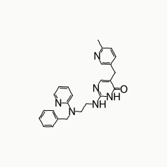 Cc1ccc(Cc2cnc(NCCN(Cc3ccccc3)c3ccccn3)[nH]c2=O)cn1